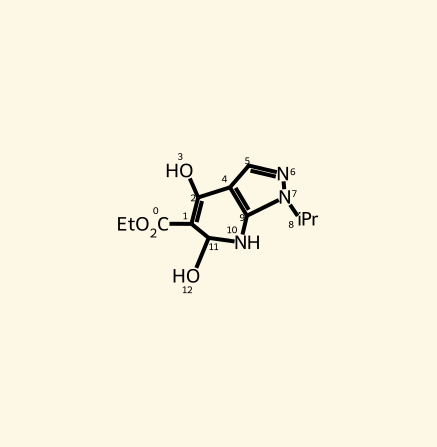 CCOC(=O)C1=C(O)c2cnn(C(C)C)c2NC1O